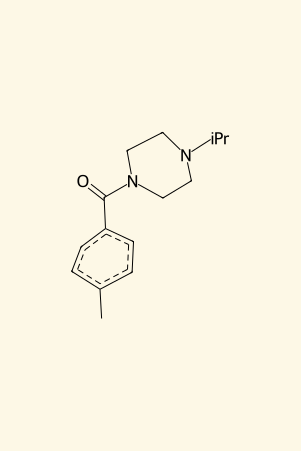 Cc1ccc(C(=O)N2CCN(C(C)C)CC2)cc1